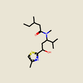 CCC(C)CC(=O)N(C)C(CC(O)c1nc(C)cs1)C(C)C